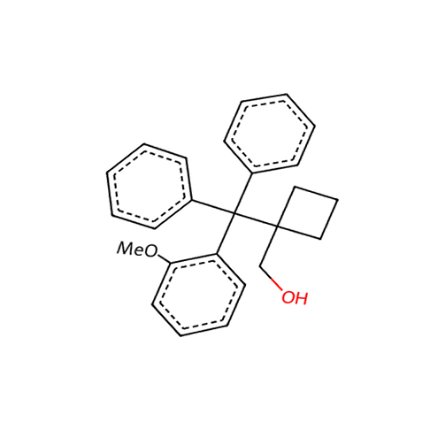 COc1ccccc1C(c1ccccc1)(c1ccccc1)C1(CO)CCC1